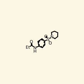 CCC(=O)Nc1ccc(S(=O)(=O)N2CCCCC2)cc1